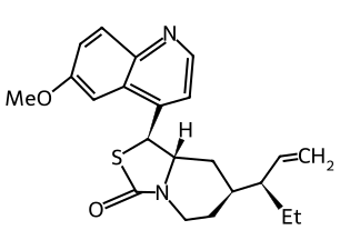 C=C[C@@H](CC)[C@H]1CCN2C(=O)S[C@@H](c3ccnc4ccc(OC)cc34)[C@@H]2C1